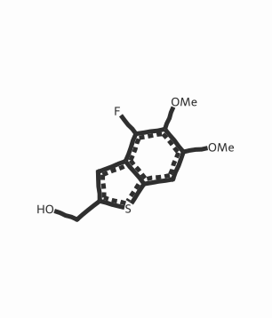 COc1cc2sc(CO)cc2c(F)c1OC